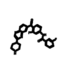 O=C(Nc1ccc(C(=O)c2ccc3ncc(N4CCNCC4)nc3c2)c(F)c1)c1cccc(F)c1